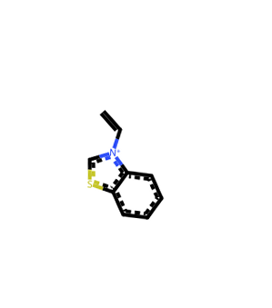 C=C[n+]1csc2ccccc21